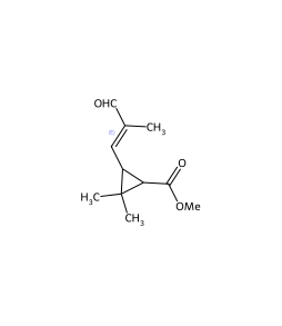 COC(=O)C1C(/C=C(\C)C=O)C1(C)C